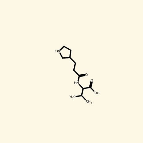 CC(C)C(NC(=O)CCC1CCNC1)C(=O)O